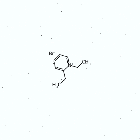 CCc1cccc[n+]1CC.[Br-]